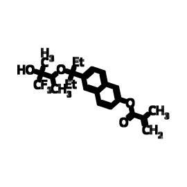 C=C(C)C(=O)Oc1ccc2cc(C(CC)(CC)OC(C)C(C)(O)C(F)(F)F)ccc2c1